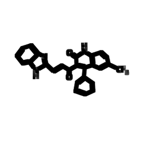 O=C(/C=C/c1nc2ccccc2[nH]1)c1c(-c2ccccc2)c2cc(C(F)(F)F)ccc2[nH]c1=O